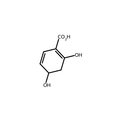 O=C(O)C1=C(O)CC(O)C=C1